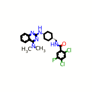 CN(C)c1nc(N[C@H]2CC[C@@H](CNC(=O)c3cc(F)c(Cl)cc3Cl)CC2)nc2ccccc12